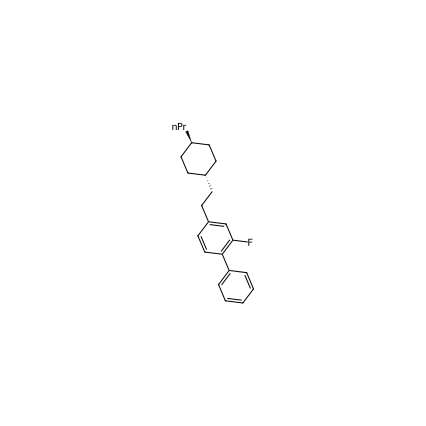 CCC[C@H]1CC[C@H](CCc2ccc(-c3ccccc3)c(F)c2)CC1